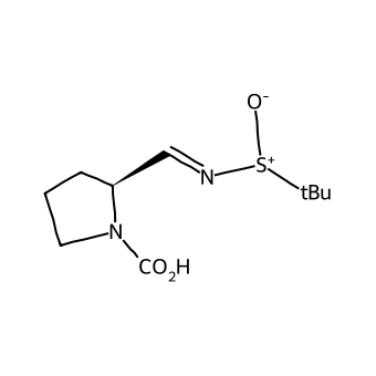 CC(C)(C)[S+]([O-])/N=C/[C@@H]1CCCN1C(=O)O